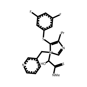 CNC(=S)C(O)[N+]1(Cc2cccnc2)C=NC(C(C)C)=C1Sc1cc(F)cc(F)c1